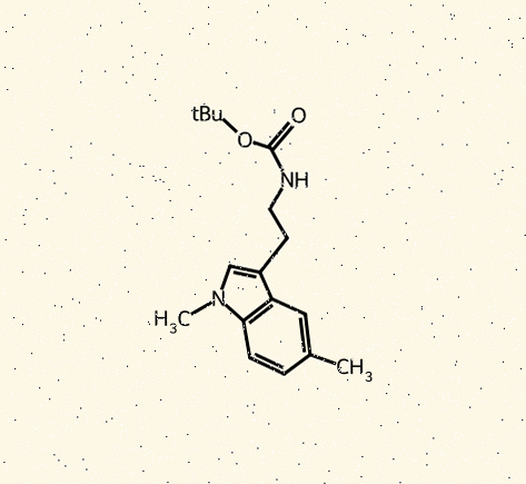 Cc1ccc2c(c1)c(CCNC(=O)OC(C)(C)C)cn2C